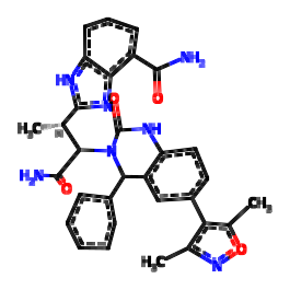 Cc1noc(C)c1-c1ccc2c(c1)C(c1ccccc1)N(C(C(N)=O)[C@H](C)c1nc3c(C(N)=O)cccc3[nH]1)C(=O)N2